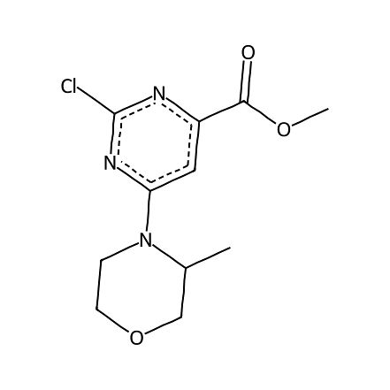 COC(=O)c1cc(N2CCOCC2C)nc(Cl)n1